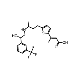 C/C(=C\C(=O)O)c1ccc(CCC(C)NCC(O)c2cccc(C(F)(F)F)c2)s1